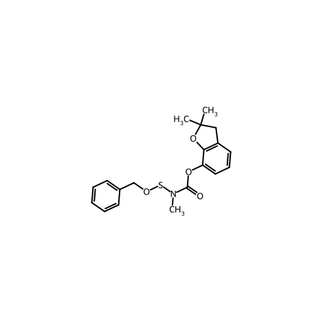 CN(SOCc1ccccc1)C(=O)Oc1cccc2c1OC(C)(C)C2